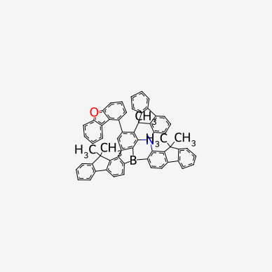 CC1(C)c2ccccc2-c2ccc3c(c21)-c1cc(-c2cccc4oc5ccccc5c24)c2c4c1B3c1ccc3c(c1N4c1cccc4c1C2(C)c1ccccc1-4)C(C)(C)c1ccccc1-3